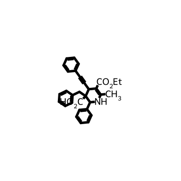 CCOC(=O)C1=C(C)NC(c2ccccc2)C(Cc2ccccc2)(C(=O)O)C1C#Cc1ccccc1